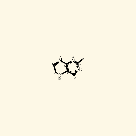 Cc1ncc2c(n1)N=CCO2